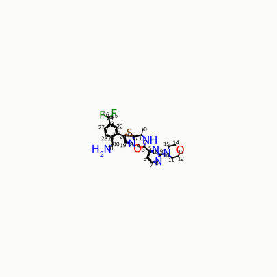 C[C@@H](NC(=O)c1ccnc(N2CCOCC2)n1)c1ncc(-c2cc(C(F)F)ccc2CN)s1